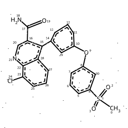 CS(=O)(=O)c1cccc(Oc2cccc(-c3c(C(N)=O)cnc4c(Cl)cccc34)c2)c1